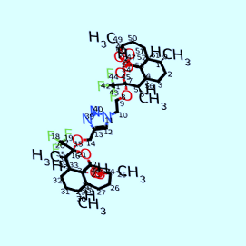 C[C@@H]1CC[C@H]2[C@@H](C)[C@](OCCn3cc(CO[C@@]4(C(F)(F)F)O[C@@H]5O[C@]6(C)CC[C@H]7[C@H](C)CC[C@@H]([C@H]4C)[C@@]57OO6)nn3)(C(F)(F)F)O[C@@H]3O[C@]4(C)CC[C@@H]1[C@]32OO4